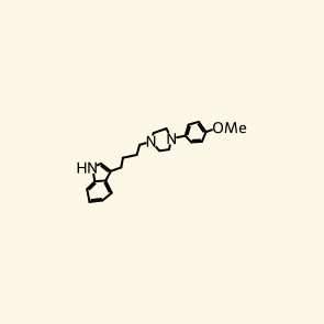 COc1ccc(N2CCN(CCCCc3c[nH]c4ccccc34)CC2)cc1